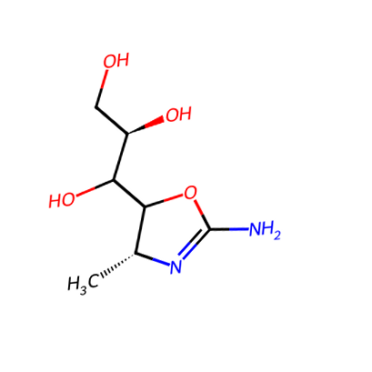 C[C@H]1N=C(N)OC1C(O)[C@H](O)CO